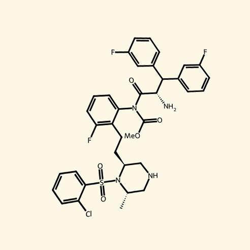 COC(=O)N(C(=O)[C@@H](N)C(c1cccc(F)c1)c1cccc(F)c1)c1cccc(F)c1CC[C@H]1CNC[C@H](C)N1S(=O)(=O)c1ccccc1Cl